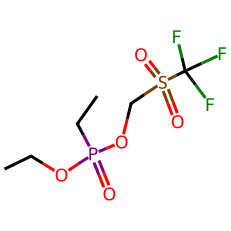 CCOP(=O)(CC)OCS(=O)(=O)C(F)(F)F